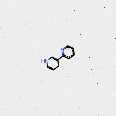 C1=CNC=C(c2ccccn2)C1